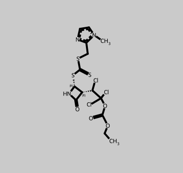 CCOC(=O)OC(Cl)(Cl)C(Cl)[C@@H]1C(=O)N[C@@H]1SC(=S)SCc1nccn1C